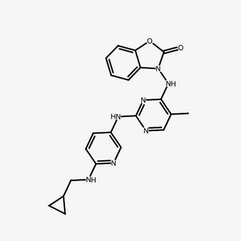 Cc1cnc(Nc2ccc(NCC3CC3)nc2)nc1Nn1c(=O)oc2ccccc21